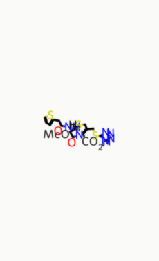 COC1(NC(=O)Cc2cccs2)C(=O)N2C(C(=O)O)=C(CSc3nnnn3C)CS[C@@H]21